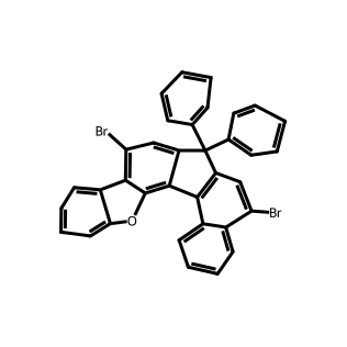 Brc1cc2c(c3ccccc13)-c1c(cc(Br)c3c1oc1ccccc13)C2(c1ccccc1)c1ccccc1